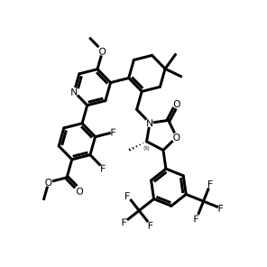 COC(=O)c1ccc(-c2cc(C3=C(CN4C(=O)OC(c5cc(C(F)(F)F)cc(C(F)(F)F)c5)[C@@H]4C)CC(C)(C)CC3)c(OC)cn2)c(F)c1F